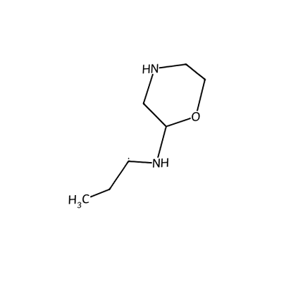 CC[CH]NC1CNCCO1